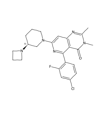 Cc1nc2cc(N3CCC[C@H](N4CCC4)C3)nc(-c3ccc(Cl)cc3F)c2c(=O)n1C